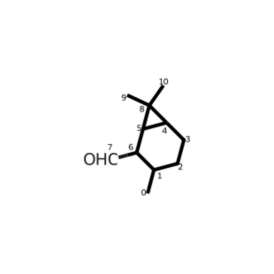 CC1CCC2C(C1C=O)C2(C)C